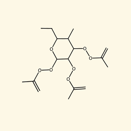 C=C(C)OOC1OC(CC)C(C)C(OOC(=C)C)C1OOC(=C)C